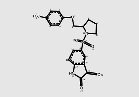 Cc1ccc(OCC2CCCN2S(=O)(=O)c2ccc3c(c2)C(=O)C(=O)N3)cc1